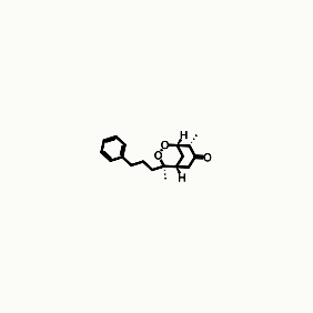 C[C@@H]1C(=O)C[C@H]2C[C@@H]1OO[C@]2(C)CCCc1ccccc1